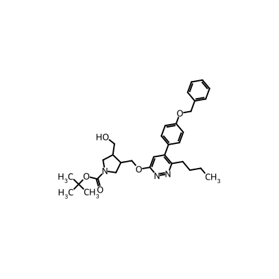 CCCCc1nnc(OCC2CN(C(=O)OC(C)(C)C)CC2CO)cc1-c1ccc(OCc2ccccc2)cc1